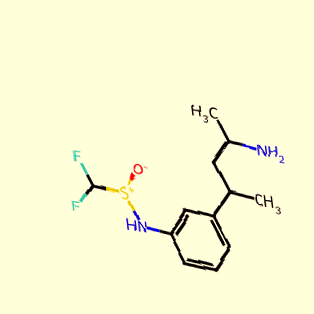 CC(N)CC(C)c1cccc(N[S@+]([O-])C(F)F)c1